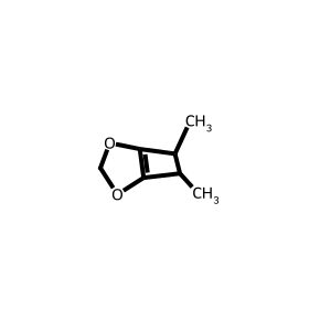 CC1C2=C(OCO2)C1C